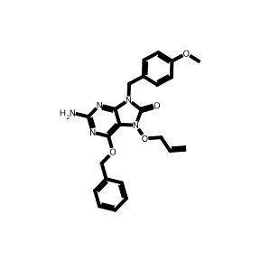 C=CCOn1c(=O)n(Cc2ccc(OC)cc2)c2nc(N)nc(OCc3ccccc3)c21